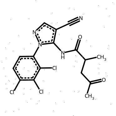 CC(=O)CC(C)C(=O)Nc1c(C#N)cnn1-c1ccc(Cl)c(Cl)c1Cl